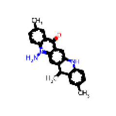 C=C1c2cc(C)ccc2Nc2cc3c(=O)c4cc(C)ccc4n(N)c3cc21